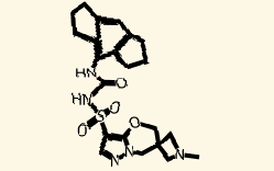 CN1CC2(COc3c(S(=O)(=O)NC(=O)Nc4c5c(cc6c4CCC6)CCC5)cnn3C2)C1